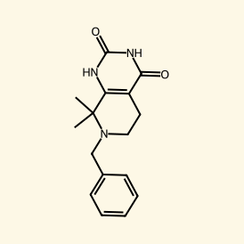 CC1(C)c2[nH]c(=O)[nH]c(=O)c2CCN1Cc1ccccc1